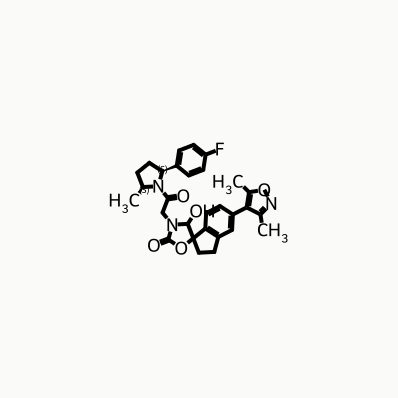 Cc1noc(C)c1-c1ccc2c(c1)CCC21OC(=O)N(CC(=O)N2[C@@H](C)CC[C@H]2c2ccc(F)cc2)C1O